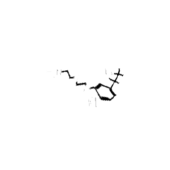 CCC(C)(C)C(C)(C)c1cccc(OCCOCCN)c1.Cl